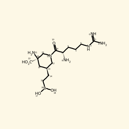 N=C(N)NCCC[C@H](N)C(=O)N1C[C@@H](CCB(O)O)C[C@](N)(C(=O)O)C1